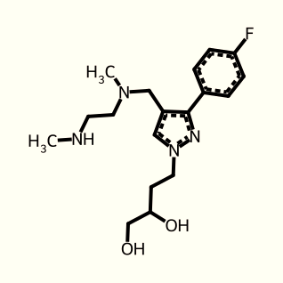 CNCCN(C)Cc1cn(CCC(O)CO)nc1-c1ccc(F)cc1